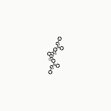 c1ccc(-c2ccc(N(c3ccccc3)c3ccc4c(c3)oc3c5cccc6c7c8ccc(N(c9ccccc9)c9ccc(-c%10ccccc%10)s9)cc8sc7n(c56)c43)s2)cc1